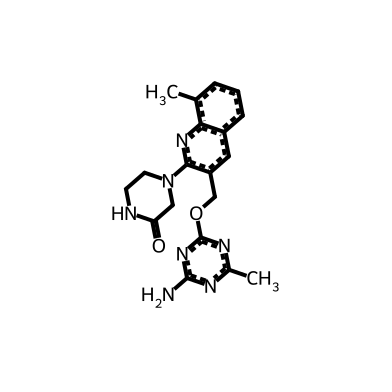 Cc1nc(N)nc(OCc2cc3cccc(C)c3nc2N2CCNC(=O)C2)n1